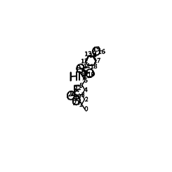 CCCC(CCCNS(=O)(=O)c1ccc(OC)cc1)S(=O)(=O)F